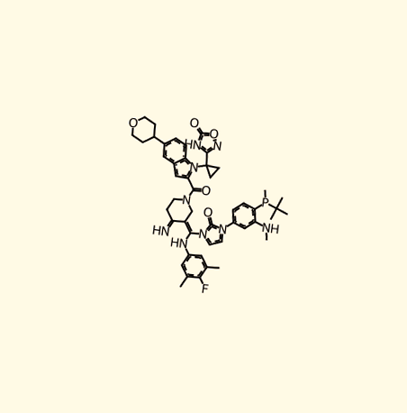 CNc1cc(-n2ccn(/C(Nc3cc(C)c(F)c(C)c3)=C3\CN(C(=O)c4cc5cc(C6CCOCC6)ccc5n4C4(c5noc(=O)[nH]5)CC4)CCC3=N)c2=O)ccc1P(C)C(C)(C)C